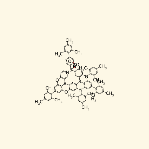 Cc1cc(C)c(-c2cc3c4c(c2)Oc2cc5c(cc2B4c2cnccc2O3)B2c3cc4c(cc3N(c3c(C)cc(C)cc3C)c3cc(-c6c(C)cc(C)cc6C)cc(c32)N5c2c(C)cc(C)cc2C)Oc2cc(-c3c(C)cc(C)cc3C)cc3c2B4c2cnccc2O3)c(C)c1